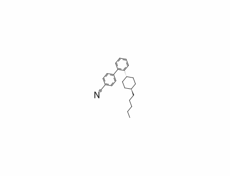 CCCCC[C@H]1CC[C@H](c2ccccc2-c2ccc(C#N)cc2)CC1